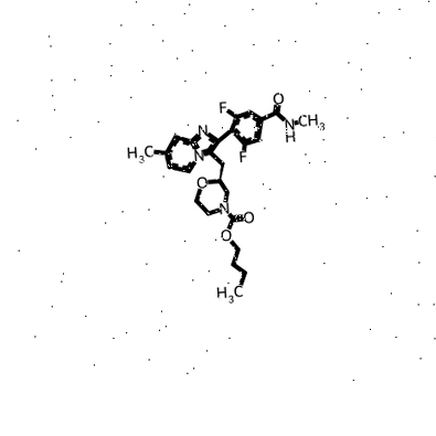 CCCCOC(=O)N1CCO[C@@H](Cc2c(-c3c(F)cc(C(=O)NC)cc3F)nc3cc(C)ccn23)C1